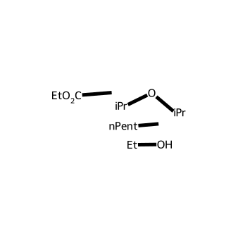 CC(C)OC(C)C.CCCCCC.CCO.CCOC(C)=O